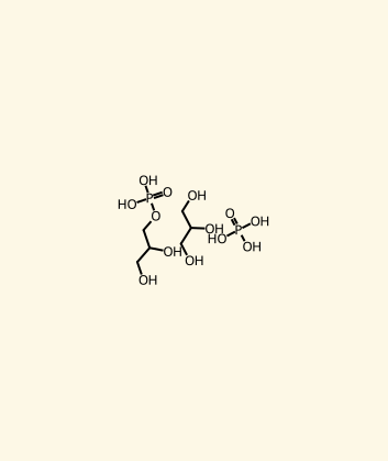 O=P(O)(O)O.O=P(O)(O)OCC(O)CO.OCC(O)CO